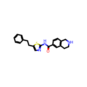 O=C(Nc1ncc(CCc2ccccc2)s1)c1ccc2c(c1)CCNC2